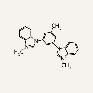 Cc1cc(-n2c[n+](C)c3ccccc32)cc(-n2c[n+](C)c3ccccc32)c1